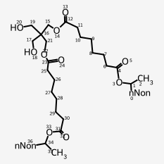 CCCCCCCCCC(C)OC(=O)CCCCCCC(=O)OCC(CO)(CO)COC(=O)CCCCCCC(=O)OC(C)CCCCCCCCC